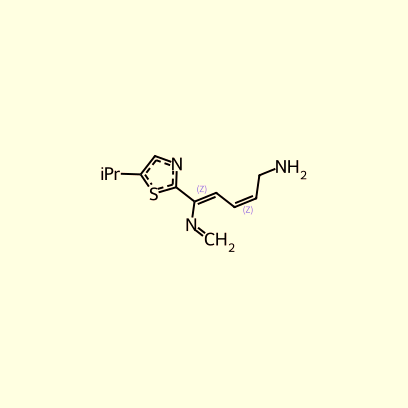 C=N/C(=C\C=C/CN)c1ncc(C(C)C)s1